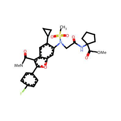 CNC(=O)c1c(-c2ccc(F)cc2)oc2cc(N(CC(=O)NC3(C(=O)OC)CCCC3)S(C)(=O)=O)c(C3CC3)cc12